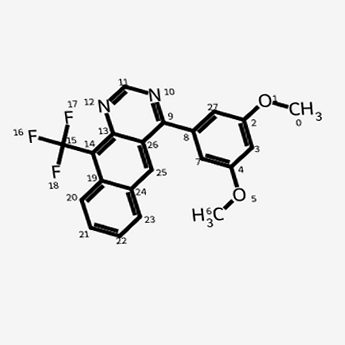 COc1cc(OC)cc(-c2ncnc3c(C(F)(F)F)c4ccccc4cc23)c1